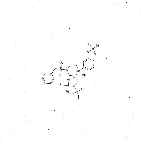 [2H]C([2H])([2H])Oc1cccc([C@]2(O)CCN(S(=O)(=O)Cc3ccccc3)C[C@H]2CN(C([2H])([2H])[2H])C([2H])([2H])[2H])c1